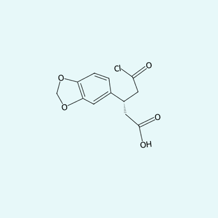 O=C(O)C[C@@H](CC(=O)Cl)c1ccc2c(c1)OCO2